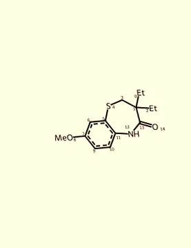 CCC1(CC)CSc2cc(OC)ccc2NC1=O